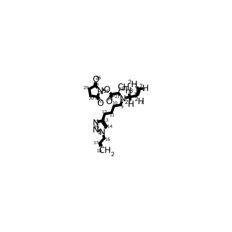 [2H]C([2H])=C([2H])C([2H])([2H])N(CCCCc1cn(CC=C)nn1)[C@@H](C)C(=O)ON1C(=O)CCC1=O